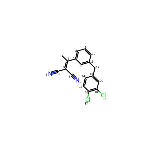 CC(=C(C#N)C#N)c1cccc(Cc2ccc(Cl)c(Cl)c2)c1